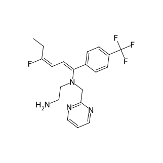 CC/C(F)=C\C=C(\c1ccc(C(F)(F)F)cc1)N(CCN)Cc1ncccn1